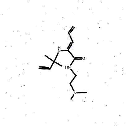 C=C/C=C(\NC(C)(C)C=C)C(=O)NCCN(C)C